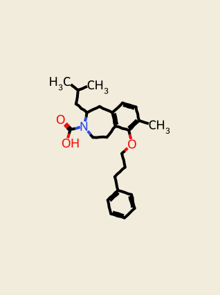 Cc1ccc2c(c1OCCCc1ccccc1)CCN(C(=O)O)C(CC(C)C)C2